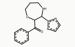 O=C(c1ccccc1)C1OCCCNC1n1nccn1